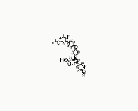 CCOc1ccc(F)c(N2CCC(Oc3ccc(N4C[C@H](c5ccc(OC)nc5)C[C@@H]4CC(=O)O)cc3)CC2)c1